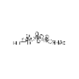 CC(=O)NC1CCC(NC(=O)c2ccc3c(c2)C(=O)N(C2CCC(N4C(=O)c5ccc(C)cc5C4=O)CC2)C3=O)CC1